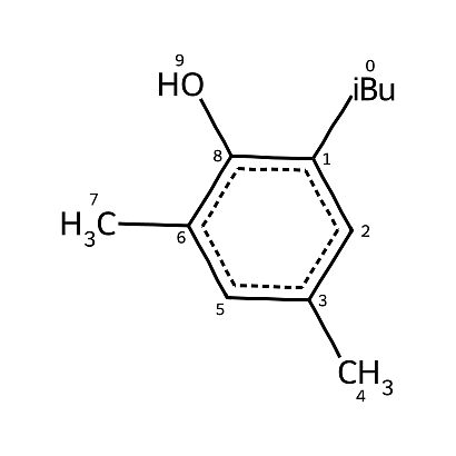 CCC(C)c1cc(C)cc(C)c1O